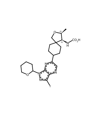 C[C@@H]1OCC2(CCC(c3cnc4c(I)nn(C5CCCCO5)c4n3)CC2)[C@@H]1NC(=O)O